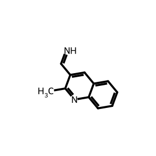 Cc1nc2ccccc2cc1C=N